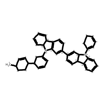 CC1C=CC(C2C=CC=C(N3c4cc(C5=CC6C(C=C5)c5ccccc5N6C5=CC=CCC5)ccc4C4C=CC=CC43)C2)CC1